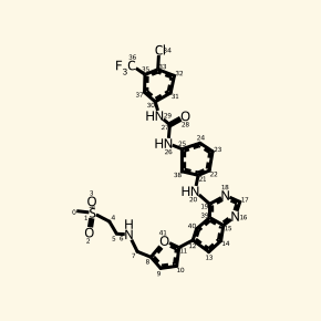 CS(=O)(=O)CCNCc1ccc(-c2ccc3ncnc(Nc4cccc(NC(=O)Nc5ccc(Cl)c(C(F)(F)F)c5)c4)c3c2)o1